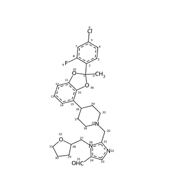 CC1(c2ccc(Cl)cc2F)Oc2cccc(C3CCN(Cc4ncc(C=O)n4CC4CCCO4)CC3)c2O1